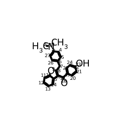 CN(C)c1ccc(Cc2oc3ccccc3c2C(=O)c2ccc(O)cc2)cc1